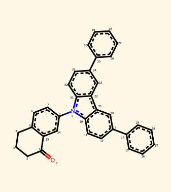 O=C1CCCc2ccc(-n3c4ccc(-c5ccccc5)cc4c4cc(-c5ccccc5)ccc43)cc21